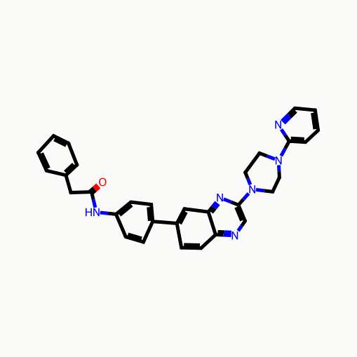 O=C(Cc1ccccc1)Nc1ccc(-c2ccc3ncc(N4CCN(c5ccccn5)CC4)nc3c2)cc1